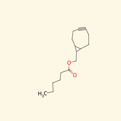 CCCCCC(=O)OCC1C2CCC#CCCC21